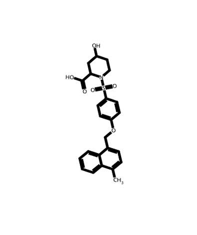 Cc1ccc(COc2ccc(S(=O)(=O)N3CCC(O)CC3C(=O)O)cc2)c2ccccc12